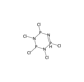 ClN1P(Cl)N=[PH](Cl)N(Cl)P1Cl